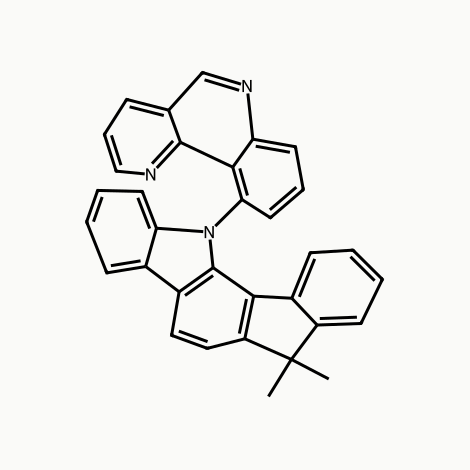 CC1(C)c2ccccc2-c2c1ccc1c3ccccc3n(-c3cccc4ncc5cccnc5c34)c21